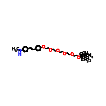 CNc1ccc(C=Cc2ccc(OCCOCCOCCOCCOCCO[Si](C)(C)C(C)(C)C)cc2)cc1